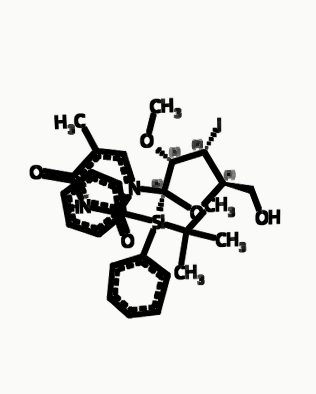 CO[C@@H]1[C@H](I)[C@@H](CO)O[C@]1(n1cc(C)c(=O)[nH]c1=O)[Si](c1ccccc1)(c1ccccc1)C(C)(C)C